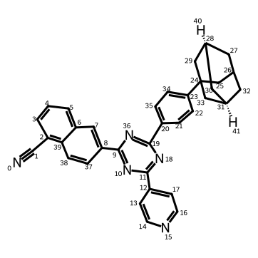 N#Cc1cccc2cc(-c3nc(-c4ccncc4)nc(-c4ccc(C56CC7C[C@H](C5)C[C@@H](C7)C6)cc4)n3)ccc12